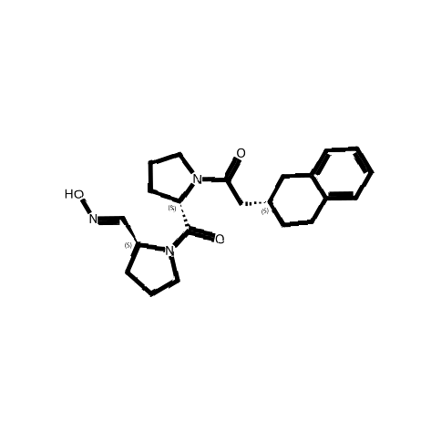 O=C([C@@H]1CCCN1C(=O)C[C@H]1CCc2ccccc2C1)N1CCC[C@H]1C=NO